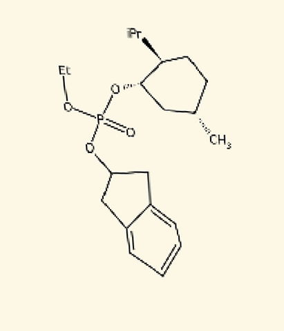 CCOP(=O)(OC1Cc2ccccc2C1)O[C@H]1C[C@@H](C)CC[C@@H]1C(C)C